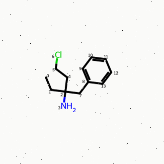 CCC(N)(CCCl)Cc1ccccc1